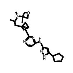 CC(CC12CC(C1)N(c1nccc(Nc3cc(C4CCCC4)[nH]n3)n1)C2)N(C)C1(C)COC1